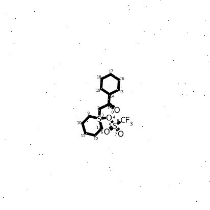 O=C(CS1(OS(=O)(=O)C(F)(F)F)CCCCC1)C1CCCCC1